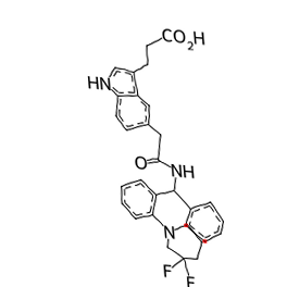 O=C(O)CCc1c[nH]c2ccc(CC(=O)NC(c3ccccc3)c3ccccc3N3CCCC(F)(F)C3)cc12